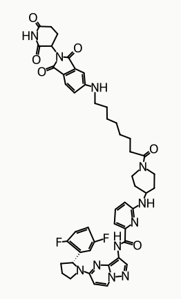 O=C1CCC(N2C(=O)c3ccc(NCCCCCCCC(=O)N4CCC(Nc5cccc(C(=O)Nc6cnn7ccc(N8CCC[C@@H]8c8cc(F)ccc8F)nc67)n5)CC4)cc3C2=O)C(=O)N1